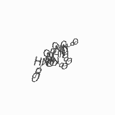 COc1ccc(CCNC(=O)[C@H]2CN(C(=O)c3ccc(C(=O)N4C[C@H](C(=O)NCCc5ccc(OC)cc5)[C@@H](C(=O)NCCc5ccc(OC)cc5)C4)cc3)C[C@@H]2C(=O)NCCc2ccc(OC)cc2)cc1